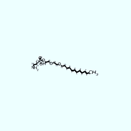 CCCCCCCCCCCCOCCOCCOP(=O)(O)OCCN